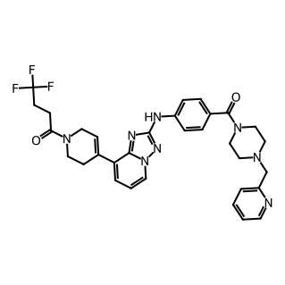 O=C(CCC(F)(F)F)N1CC=C(c2cccn3nc(Nc4ccc(C(=O)N5CCN(Cc6ccccn6)CC5)cc4)nc23)CC1